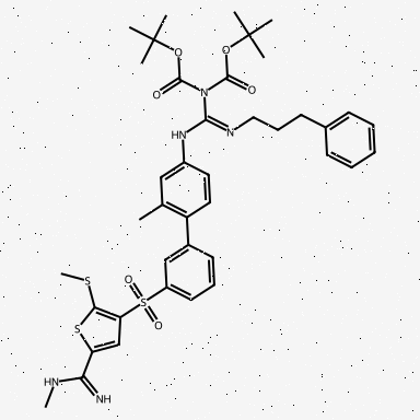 CNC(=N)c1cc(S(=O)(=O)c2cccc(-c3ccc(NC(=NCCCc4ccccc4)N(C(=O)OC(C)(C)C)C(=O)OC(C)(C)C)cc3C)c2)c(SC)s1